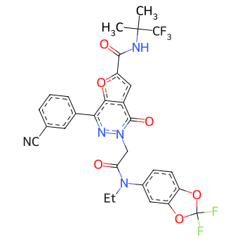 CCN(C(=O)Cn1nc(-c2cccc(C#N)c2)c2oc(C(=O)NC(C)(C)C(F)(F)F)cc2c1=O)c1ccc2c(c1)OC(F)(F)O2